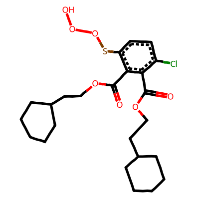 O=C(OCCC1CCCCC1)c1c(Cl)ccc(SOOO)c1C(=O)OCCC1CCCCC1